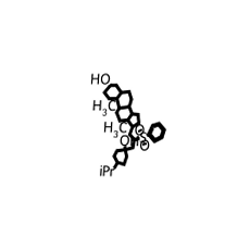 CC(C)C1CCC(O)(CC(CC2CCC3C4CCC5CC(O)CCC5(C)C4CCC23C)S(=O)(=O)c2ccccc2)CC1